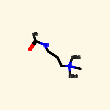 CCCCCCCC[N+](C)(CCCCCCCC)CCCNC(=O)CCC